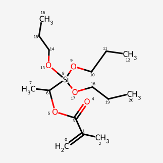 C=C(C)C(=O)OC(C)[Si](OCCC)(OCCC)OCCC